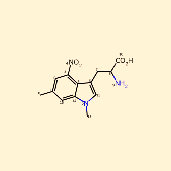 Cc1cc([N+](=O)[O-])c2c(CC(N)C(=O)O)cn(C)c2c1